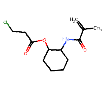 C=C(C)C(=O)NC1CCCCC1OC(=O)CCCl